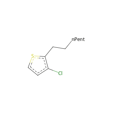 CCCCCCCc1sccc1Cl